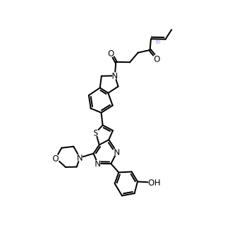 C/C=C/C(=O)CCC(=O)N1Cc2ccc(-c3cc4nc(-c5cccc(O)c5)nc(N5CCOCC5)c4s3)cc2C1